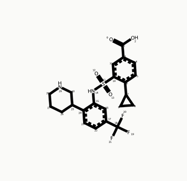 O=C(O)c1ccc(C2CC2)c(S(=O)(=O)Nc2cc(C(F)(F)F)ccc2C2CCCNC2)c1